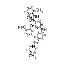 CCOc1ccccc1Oc1nc(Nc2ccc(CCN3CCN(C)CC3)cc2)ncc1C(=O)Nc1c(C)cccc1C